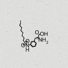 N[C@@H](Cc1cccc(NS(=O)(=O)CCCCCCCI)c1)C(=O)O